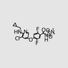 CN(C)S(=O)(=O)NC(=O)c1cc(F)c(Oc2cnc(NCC3CC3)c(Cl)c2)cc1F